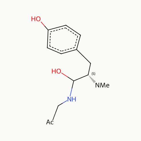 CN[C@@H](Cc1ccc(O)cc1)C(O)NCC(C)=O